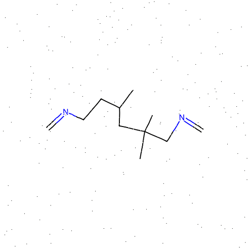 C=NCCC(C)CC(C)(C)CN=C